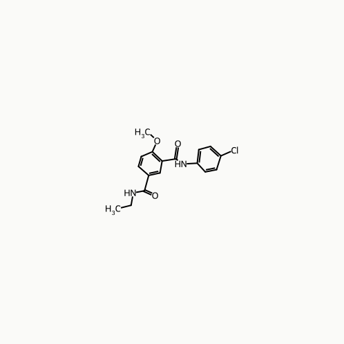 CCNC(=O)c1ccc(OC)c(C(=O)Nc2ccc(Cl)cc2)c1